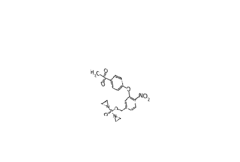 CS(=O)(=O)c1ccc(Oc2cc(COP(=O)(N3CC3)N3CC3)ccc2[N+](=O)[O-])cc1